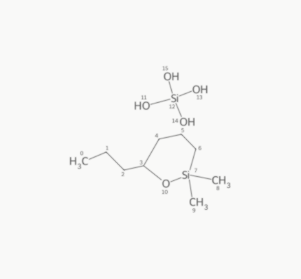 CCCC1CCC[Si](C)(C)O1.O[Si](O)(O)O